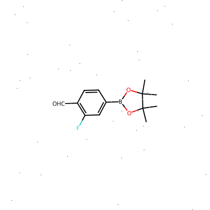 CC1(C)OB(c2ccc(C=O)c(F)c2)OC1(C)C